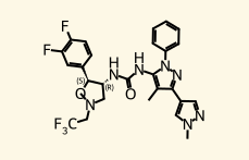 Cc1c(-c2cnn(C)c2)nn(-c2ccccc2)c1NC(=O)N[C@@H]1CN(CC(F)(F)F)O[C@H]1c1ccc(F)c(F)c1